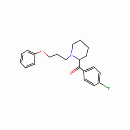 O=C(c1ccc(F)cc1)C1CCCCN1CCCOc1ccccc1